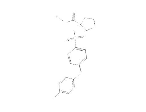 NOC(=O)[C@@]1(NS(=O)(=O)c2ccc(Oc3ccc(F)cc3)cc2)CCOC1